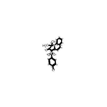 CC1(C)C(=O)C(S(=O)(=O)c2ccc(Cl)cc2)=C2C=Cc3ccccc3N21